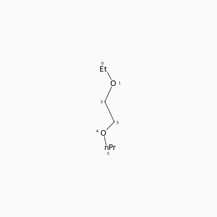 [CH2]COCCOC[CH]C